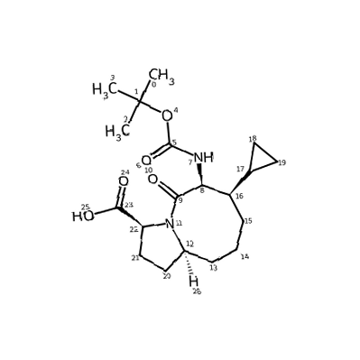 CC(C)(C)OC(=O)N[C@@H]1C(=O)N2[C@@H](CCC[C@@H]1C1CC1)CC[C@H]2C(=O)O